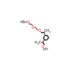 CCCCOCCOCCOC=C(C)c1cccc(C(C)=COCCC)c1